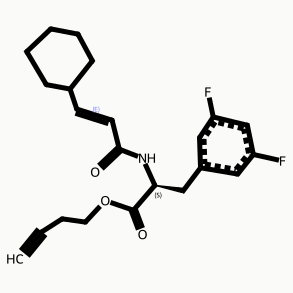 C#CCCOC(=O)[C@H](Cc1cc(F)cc(F)c1)NC(=O)/C=C/C1CCCCC1